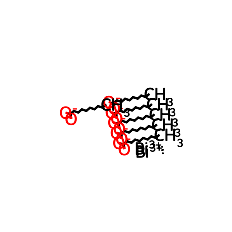 CCCCCCCCCC(=O)[O-].CCCCCCCCCC(=O)[O-].CCCCCCCCCC(=O)[O-].CCCCCCCCCC(=O)[O-].CCCCCCCCCC(=O)[O-].CCCCCCCCCC(=O)[O-].[Bi+3].[Bi+3]